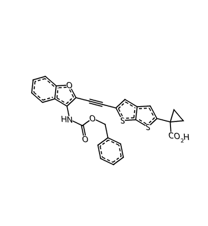 O=C(Nc1c(C#Cc2cc3cc(C4(C(=O)O)CC4)sc3s2)oc2ccccc12)OCc1ccccc1